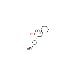 CCC[C@H]1C[C@H](CCC2CCCCC2)C1.O=C(O)O